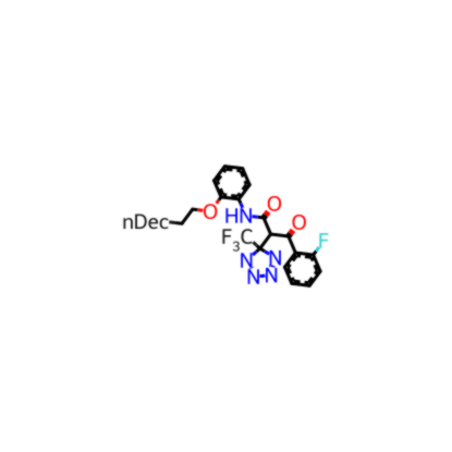 CCCCCCCCCCCCOc1ccccc1NC(=O)C(C(=O)c1ccccc1F)C1(C(F)(F)F)N=NN=N1